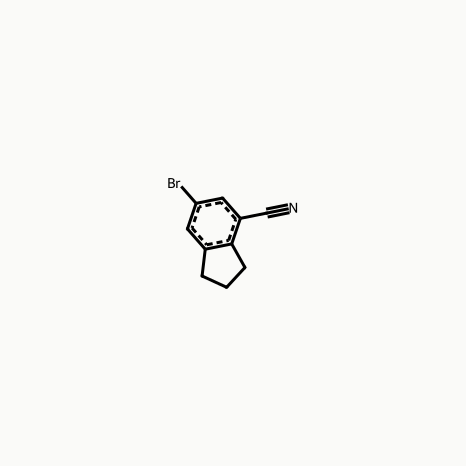 N#Cc1cc(Br)cc2c1CCC2